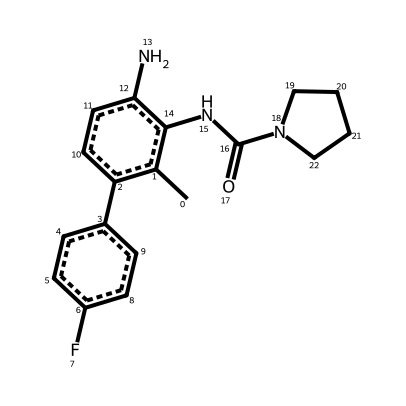 Cc1c(-c2ccc(F)cc2)ccc(N)c1NC(=O)N1CCCC1